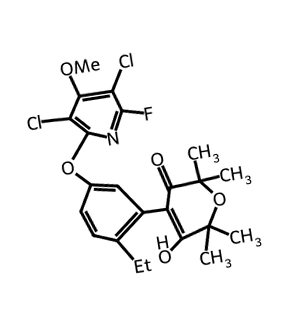 CCc1ccc(Oc2nc(F)c(Cl)c(OC)c2Cl)cc1C1=C(O)C(C)(C)OC(C)(C)C1=O